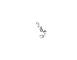 C[C@H](C(=O)NC1(C)CCCC1)N1Cc2ccc(-c3nc(NC4CCOCC4)ncc3Cl)cc2C1=O